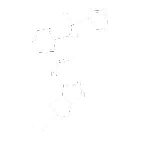 O=C(Nc1ccccc1C(=O)Nc1n[nH]c2sc(C(=O)O)cc12)c1ccsc1